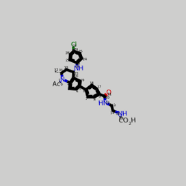 CC(=O)N1c2ccc(-c3ccc(C(=O)NCCNC(=O)O)cc3)cc2[C@H](Nc2ccc(Cl)cc2)C[C@H]1C